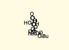 CCCCOC(=O)O[C@]1(C(=O)COC(=O)OCC(C)C)CC[C@H]2[C@@H]3CCC4=CC(=O)C=C[C@]4(C)[C@@]3(Cl)C(O)C[C@@]21C